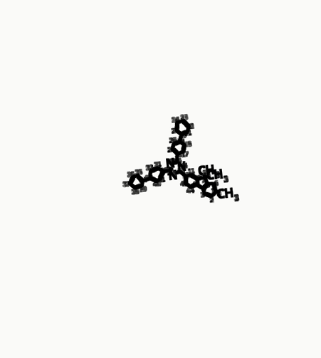 Cc1ccc2c(c1)C(C)(C)c1cc(-c3nc(-c4ccc(-c5ccccc5)cc4)nc(-c4ccc(-c5ccccc5)cc4)n3)ccc1-2